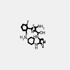 Cn1ncc(NC(O)c2nc(-c3c(F)cccc3F)sc2N)c1N[C@H]1CC[C@@H](N)CC1